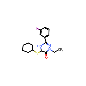 O=C1C(SC2CCCCC2)NC(c2cccc(I)c2)=NN1CC(F)(F)F